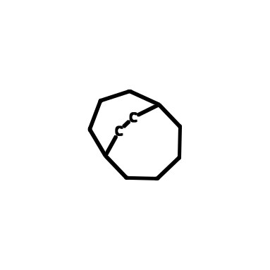 C1CCC2CCCC(C1)CC2